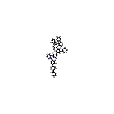 C1=Cc2c(n(-c3cccc(S(c4ccccc4)(c4ccccc4)c4ccccc4)c3)c3ccc(-c4ccc5c(c4)c4ccccc4n5-c4ccc(-c5ccc(-c6ccccc6)cc5)cc4)cc23)CC1